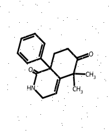 CC1(C)C(=O)CCC2(c3ccccc3)C(=O)NCC=C12